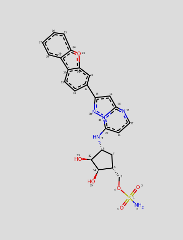 NS(=O)(=O)OC[C@H]1C[C@@H](Nc2ccnc3cc(-c4ccc5c(c4)oc4ccccc45)nn23)[C@H](O)[C@@H]1O